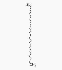 CCCCCCCCCCCCCCCCCCCCCCCC[CH2][Sb]